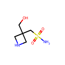 NS(=O)(=O)CC1(CO)CNC1